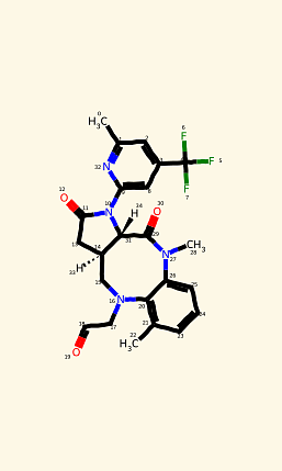 Cc1cc(C(F)(F)F)cc(N2C(=O)C[C@@H]3CN(CC=O)c4c(C)cccc4N(C)C(=O)[C@H]32)n1